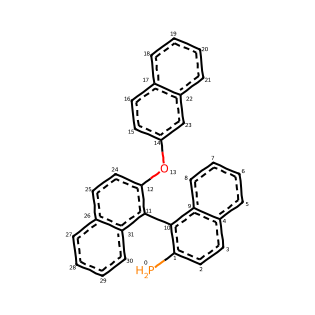 Pc1ccc2ccccc2c1-c1c(Oc2ccc3ccccc3c2)ccc2ccccc12